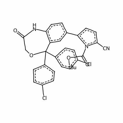 CC(C)(C)OC(=O)n1c(C#N)ccc1-c1ccc2c(c1)C(c1ccc(Cl)cc1)(c1ccc(Cl)cc1)OCC(=O)N2